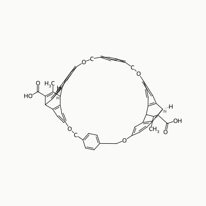 CC1=C(C(=O)O)[C@H]2c3ccc4cc3C1c1ccc(cc12)OCc1ccc(cc1)COc1ccc2c(c1)C1C(C(=O)O)=C(C)[C@@H]2c2cc(ccc21)OCc1ccc(cc1)CO4